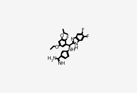 CCOc1cc(OC(C)C)c(F)c(C(Nc2ccc(C(=N)N)cc2)c2nc3cc(F)c(F)cc3[nH]2)c1